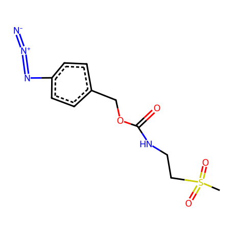 CS(=O)(=O)CCNC(=O)OCc1ccc(N=[N+]=[N-])cc1